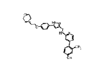 Cc1cc(C#N)ccc1-c1ccnc(NCc2cc(-c3ccc(OCCN4CCOCC4)cc3)[nH]n2)c1